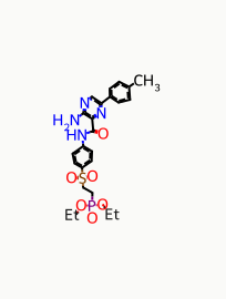 CCOP(=O)(CCS(=O)(=O)c1ccc(NC(=O)c2nc(-c3ccc(C)cc3)cnc2N)cc1)OCC